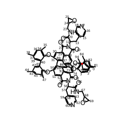 Cc1ccc(Oc2cc3c(=O)n(C(Cc4ccncc4)C(=O)NCC4CO4)c(=O)c4cc5oc6c(C)cc(C)cc6c6cc(C)cc(C)c6oc6cc7c(=O)n(C(Cc8ccncc8)C(=O)NCC8CO8)c(=O)c8cc(Oc9ccc(C)cc9C)c9c2c(c34)c5c6c9c87)c(C)c1